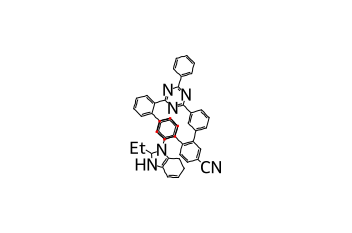 CCC1NC2=C(CCC=C2)N1c1ccccc1-c1ccc(C#N)cc1-c1cccc(-c2nc(-c3ccccc3)nc(-c3ccccc3-c3ccccc3)n2)c1